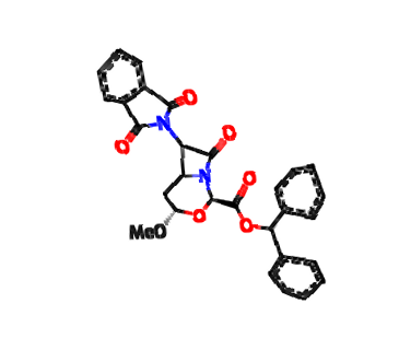 CO[C@@H]1CC2C(N3C(=O)c4ccccc4C3=O)C(=O)N2[C@@H](C(=O)OC(c2ccccc2)c2ccccc2)O1